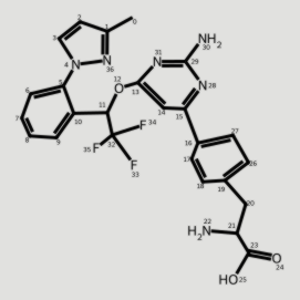 Cc1ccn(-c2ccccc2C(Oc2cc(-c3ccc(CC(N)C(=O)O)cc3)nc(N)n2)C(F)(F)F)n1